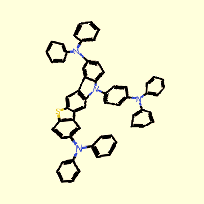 c1ccc(N(c2ccccc2)c2ccc(-n3c4ccc(N(c5ccccc5)c5ccccc5)cc4c4cc5sc6ccc(N(c7ccccc7)c7ccccc7)cc6c5cc43)cc2)cc1